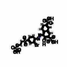 O=S(=O)(O)OCCS(=O)(=O)c1ccc(/N=N/c2c(O)c(S(=O)(=O)O)cc3cc(S(=O)(=O)O)ccc23)c(Br)c1